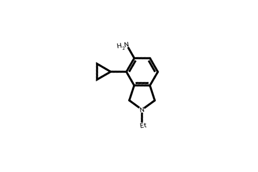 CCN1Cc2ccc(N)c(C3CC3)c2C1